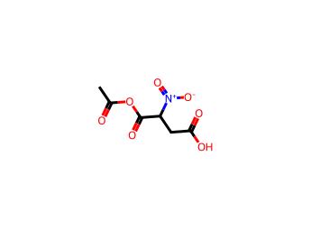 CC(=O)OC(=O)C(CC(=O)O)[N+](=O)[O-]